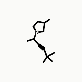 CC1CCN(C(C)C#CC(C)(C)C)C1